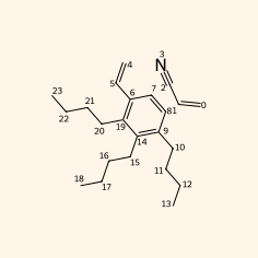 C=CC#N.C=Cc1ccc(CCCC)c(CCCC)c1CCCC